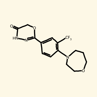 O=C1COC(c2ccc(N3CCCOCC3)c(C(F)(F)F)c2)=NN1